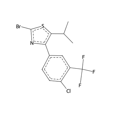 CC(C)c1sc(Br)nc1-c1ccc(Cl)c(C(F)(F)F)c1